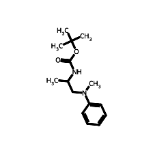 CC(CN(C)c1ccccc1)NC(=O)OC(C)(C)C